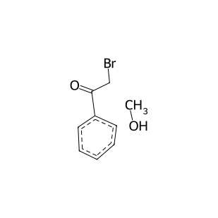 CO.O=C(CBr)c1ccccc1